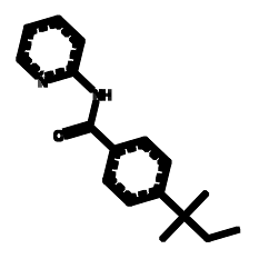 CCC(C)(C)c1ccc(C(=O)Nc2ccccn2)cc1